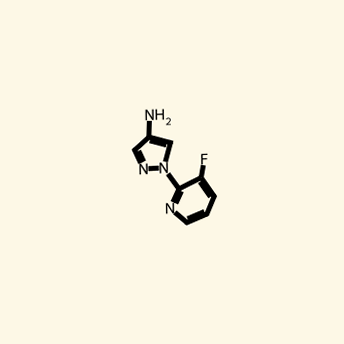 Nc1cnn(-c2ncccc2F)c1